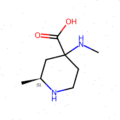 CNC1(C(=O)O)CCN[C@@H](C)C1